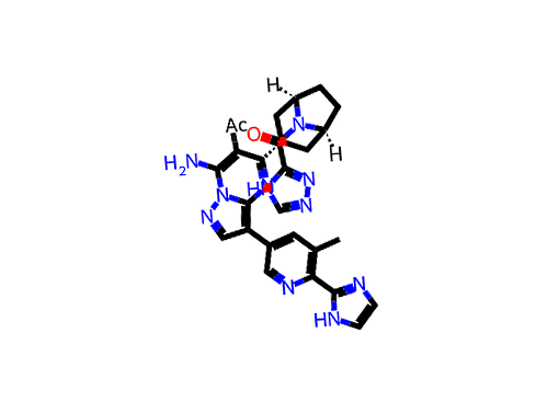 CC(=O)c1c([C@@H]2C[C@H]3CC[C@@H](C2)N3C(=O)c2nnc[nH]2)nc2c(-c3cnc(-c4ncc[nH]4)c(C)c3)cnn2c1N